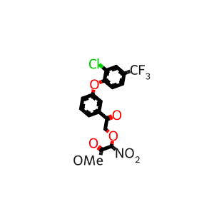 COC(=O)C(OCC(=O)c1cccc(Oc2ccc(C(F)(F)F)cc2Cl)c1)[N+](=O)[O-]